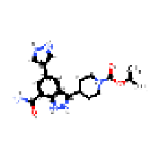 C=C(C)OC(=O)N1CCC(c2n[nH]c3c(C(N)=O)cc(-c4cn[nH]c4)cc23)CC1